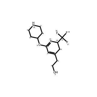 OCCC1=CC(OC2CCNCC2)=NC(C(F)(F)F)C1